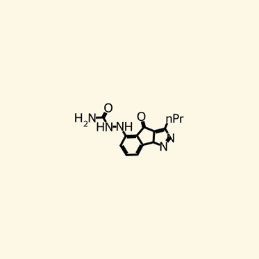 CCCC1=C2C(=O)c3c(NNC(N)=O)cccc3C2N=N1